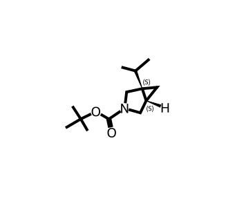 CC(C)[C@@]12C[C@@H]1CN(C(=O)OC(C)(C)C)C2